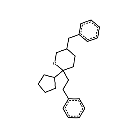 c1ccc(CCC2(C3CCCC3)CCC(Cc3ccccc3)CO2)cc1